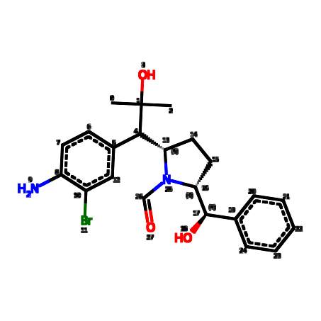 CC(C)(O)C(c1ccc(N)c(Br)c1)[C@@H]1CC[C@H]([C@H](O)c2ccccc2)N1C=O